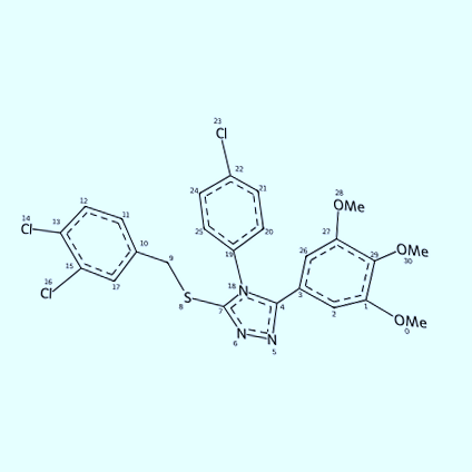 COc1cc(-c2nnc(SCc3ccc(Cl)c(Cl)c3)n2-c2ccc(Cl)cc2)cc(OC)c1OC